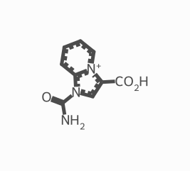 NC(=O)n1cc(C(=O)O)[n+]2ccccc12